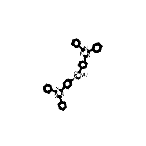 c1ccc(-c2nc(-c3ccccc3)nc(-c3ccc(C4NCN(c5ccc(-c6nc(-c7ccccc7)nc(-c7ccccc7)n6)cc5)O4)cc3)n2)cc1